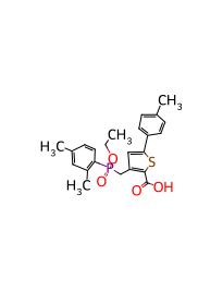 CCOP(=O)(Cc1cc(-c2ccc(C)cc2)sc1C(=O)O)c1ccc(C)cc1C